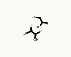 CC(O)CF.OC(F)C(F)F